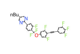 CCCCc1cnc(-c2ccc(C(F)(F)Oc3cc(F)c(C#Cc4cc(F)c(F)c(F)c4)c(F)c3)c(F)c2)nc1